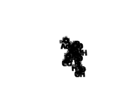 CC(=O)[C@H](Cc1cccc(C)c1)NC1=CCOC(=O)C[C@@H]1NC(=O)[C@H](Cc1ccc(OCC(=O)O)cc1)NC(=O)[C@@H](NC(=O)CSCCNC(=O)[C@@H](C)CO)C(C)O